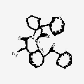 CNC(=S)C1(c2cccnc2)CCCCC1OC(=O)C(C)c1cccc(C(=O)c2ccccc2)c1